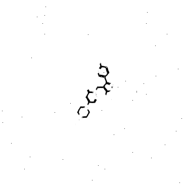 Cc1ccc(-c2noc(C)c2Cn2ncc(N3CCN(C)CC3)cc2=O)cn1